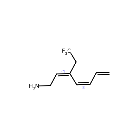 C=C/C=C\C(=C/CN)CC(F)(F)F